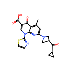 Cc1cc(N2CC(C(=O)C3CC3)C2)nc2c1c(=O)c(C(=O)O)cn2-c1nccs1